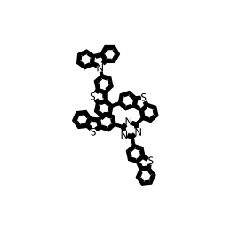 c1ccc2c(c1)sc1cc(-c3nc(-c4ccc5c(c4)sc4ccccc45)nc(-c4cccc5sc6ccc(-c7cccc8sc9cc(-n%10c%11ccccc%11c%11ccccc%11%10)ccc9c78)cc6c45)n3)ccc12